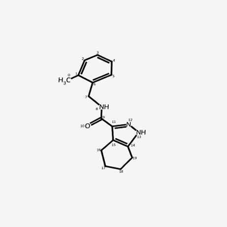 Cc1ccccc1CNC(=O)c1n[nH]c2c1CCCC2